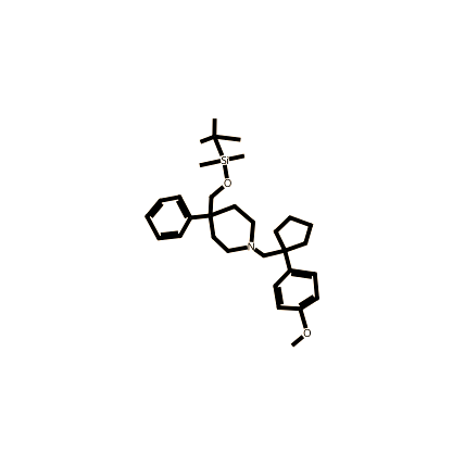 COc1ccc(C2(CN3CCC(CO[Si](C)(C)C(C)(C)C)(c4ccccc4)CC3)CCCC2)cc1